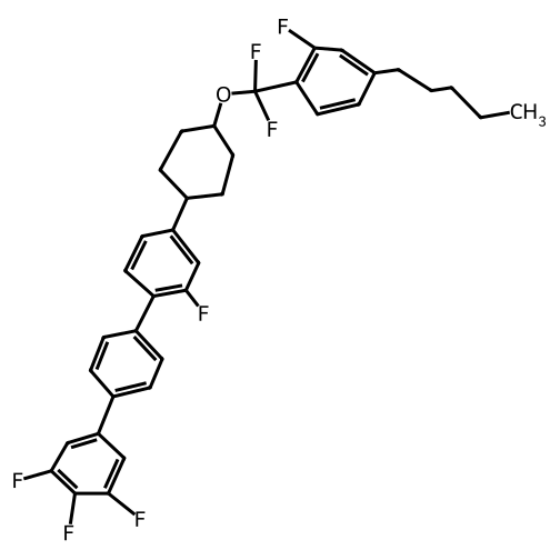 CCCCCc1ccc(C(F)(F)OC2CCC(c3ccc(-c4ccc(-c5cc(F)c(F)c(F)c5)cc4)c(F)c3)CC2)c(F)c1